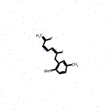 C=C(F)/C=C\C=C(\F)Cc1cc(C)ccc1NC